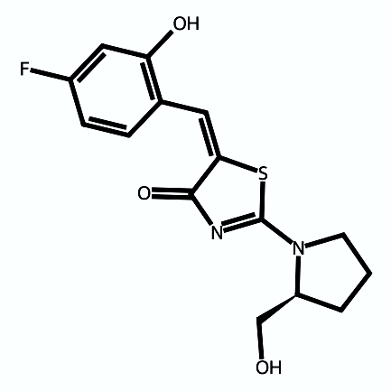 O=C1N=C(N2CCC[C@H]2CO)SC1=Cc1ccc(F)cc1O